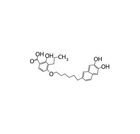 CCCc1c(OCCCCCCc2ccc3cc(O)c(O)cc3c2)ccc(C(=O)O)c1O